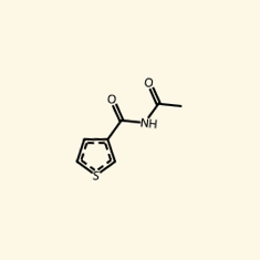 CC(=O)NC(=O)c1ccsc1